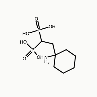 NC1(CC(P(=O)(O)O)P(=O)(O)O)CCCCC1